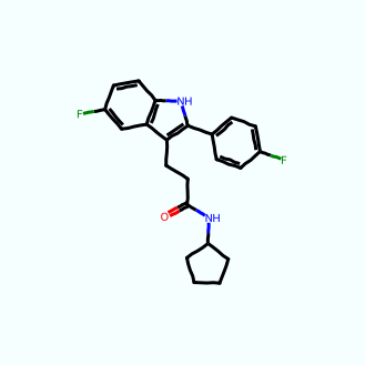 O=C(CCc1c(-c2ccc(F)cc2)[nH]c2ccc(F)cc12)NC1CCCC1